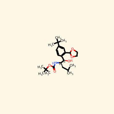 CC(C)C[C@@H](NC(=O)OC(C)(C)C)[C@H](O)c1ccc(C(C)(C)C)cc1C1OCCO1